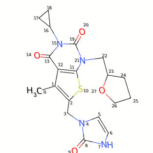 Cc1c(Cn2cc[nH]c2=O)sc2c1c(=O)n(C1CC1)c(=O)n2CC1CCCO1